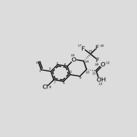 C=Cc1cc2c(cc1Cl)C[C@@H](C(=O)O)[C@@H](C(F)(F)F)O2